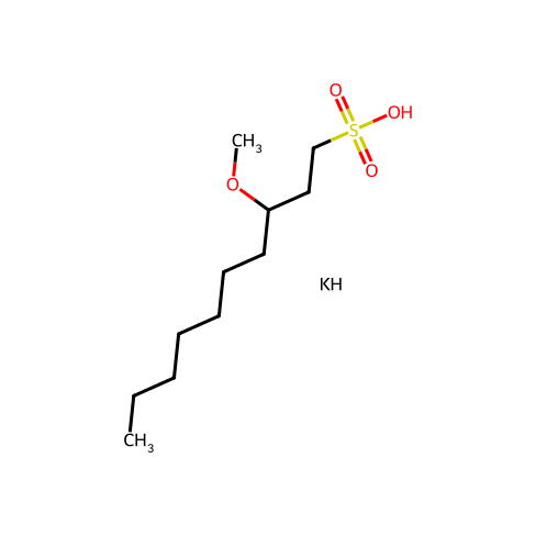 CCCCCCCC(CCS(=O)(=O)O)OC.[KH]